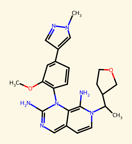 COc1cc(-c2cnn(C)c2)ccc1N1C(N)=NC=C2C=CN(C(C)C3CCOC3)C(N)=C21